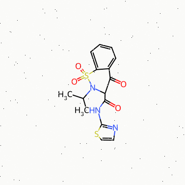 CC(C)N1C(C(=O)Nc2nccs2)C(=O)c2ccccc2S1(=O)=O